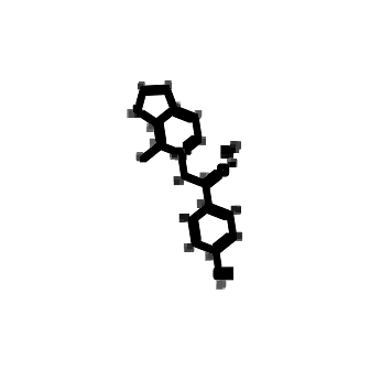 Cc1c2sccc2cc[n+]1CC(=O)c1ccc(O)cc1.[Br-]